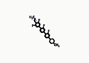 C/C=C/c1c(F)cc(-c2ccc(-c3ccc(C4CCC(C)CC4)cc3F)cc2F)cc1F